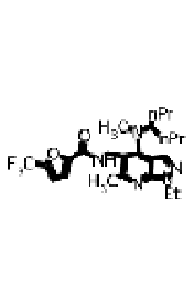 CCCC(CCC)N(C)c1c(CNC(=O)c2ccc(C(F)(F)F)o2)c(C)nc2c1cnn2CC